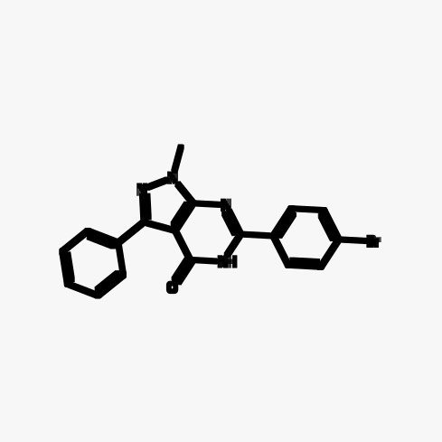 Cn1nc(-c2ccccc2)c2c(=O)[nH]c(-c3ccc(Br)cc3)nc21